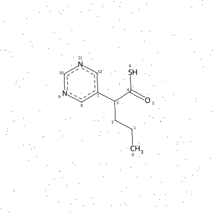 CCCC(C(=O)S)c1cncnc1